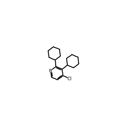 Clc1ccbc(C2CCCCC2)c1C1CCCCC1